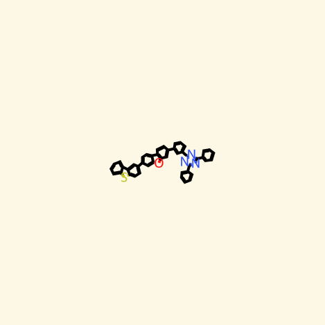 c1ccc(-c2nc(-c3ccccc3)nc(-c3cccc(-c4ccc5c(c4)oc4cc(-c6ccc7sc8ccccc8c7c6)ccc45)c3)n2)cc1